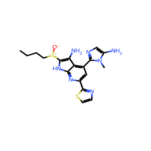 CCCC[S+]([O-])c1[nH]c2nc(-c3nccs3)cc(-c3ncc(N)n3C)c2c1N